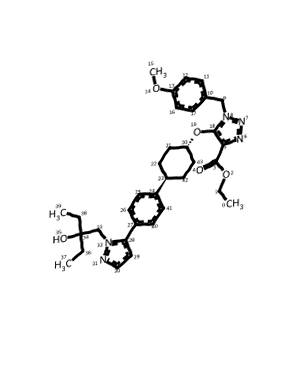 CCOC(=O)c1nnn(Cc2ccc(OC)cc2)c1O[C@H]1CC[C@H](c2ccc(-c3ccnn3CC(O)(CC)CC)cc2)CC1